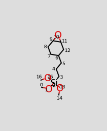 CO[Si](CCCC1CCC2OC2C1)(OC)OC